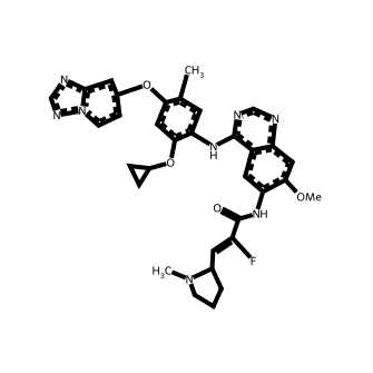 COc1cc2ncnc(Nc3cc(C)c(Oc4ccn5ncnc5c4)cc3OC3CC3)c2cc1NC(=O)/C(F)=C/C1CCCN1C